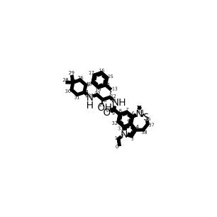 CCn1cc2c3c(cc(C(=O)N[C@@H](Cc4ccccc4)[C@H](O)CNC4CCC(C)(C)CC4)cc31)N(C)SCC2